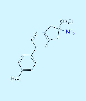 CCOC(=O)C1(N)Cc2ccc(-c3ccc(C)cc3)cc2C1